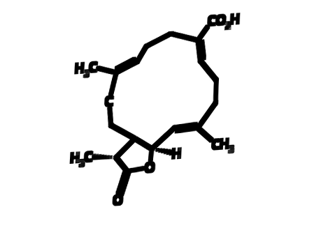 C/C1=C\[C@H]2OC(=O)[C@H](C)C2CC/C(C)=C/CC/C(C(=O)O)=C/CC1